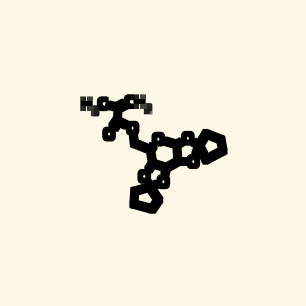 C=C(C)C(=O)OCC1OC2OC3(CCCC3)OC2C2OC3(CCCC3)OC12